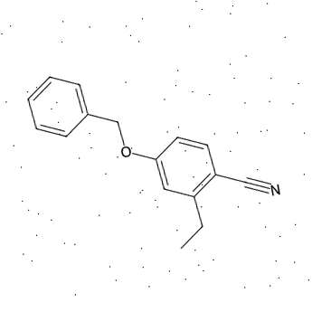 CCc1cc(OCc2ccccc2)ccc1C#N